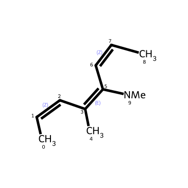 C\C=C/C(C)=C(\C=C/C)NC